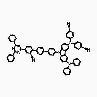 N#Cc1ccc(N(c2ccc(C#N)cc2)c2ccc3c(c2)c2cc(N(c4ccccc4)c4ccccc4)ccc2n3-c2ccc(-c3ccc(-c4ccc(-c5cc(-c6ccccc6)nc(-c6ccccc6)n5)cc4C#N)cc3)cc2)cc1